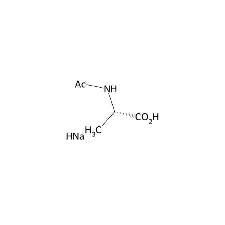 CC(=O)N[C@@H](C)C(=O)O.[NaH]